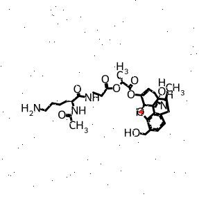 CC(=O)N[C@@H](CCCCN)C(=O)NCCC(=O)O[C@@H](C)C(=O)OC1=CC[C@@]2(O)[C@H]3Cc4ccc(CO)c5c4[C@@]2(CCN3C)[C@H]1O5